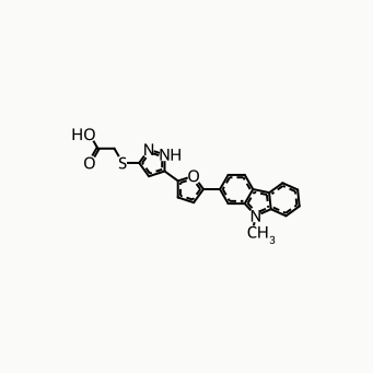 Cn1c2ccccc2c2ccc(-c3ccc(-c4cc(SCC(=O)O)n[nH]4)o3)cc21